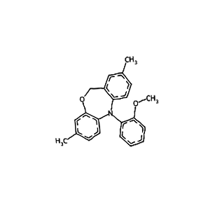 COc1ccccc1N1c2ccc(C)cc2COc2cc(C)ccc21